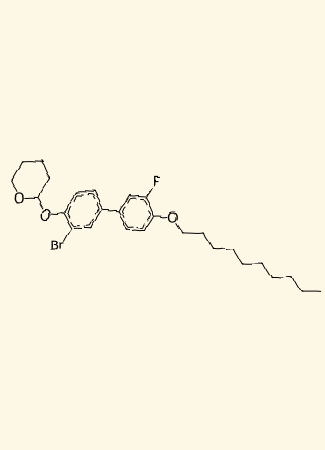 CCCCCCCCCCOc1ccc(-c2ccc(OC3CCCCO3)c(Br)c2)cc1F